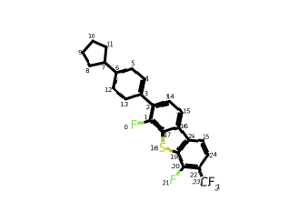 Fc1c(C2=CCC(C3CCCC3)CC2)ccc2c1sc1c(F)c(C(F)(F)F)ccc12